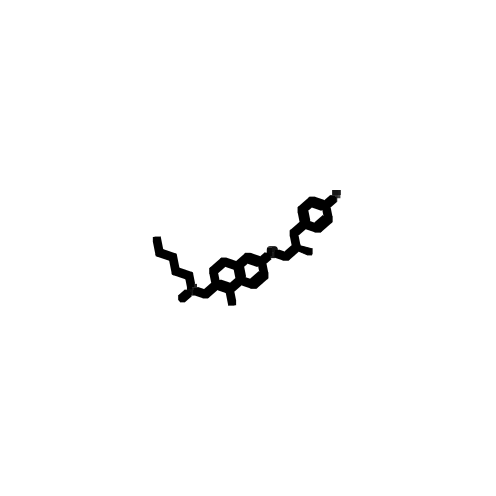 CCCCCN(C)CC1=C(C)c2ccc(OC[C@H](C)Cc3ccc(F)cc3)cc2CC1